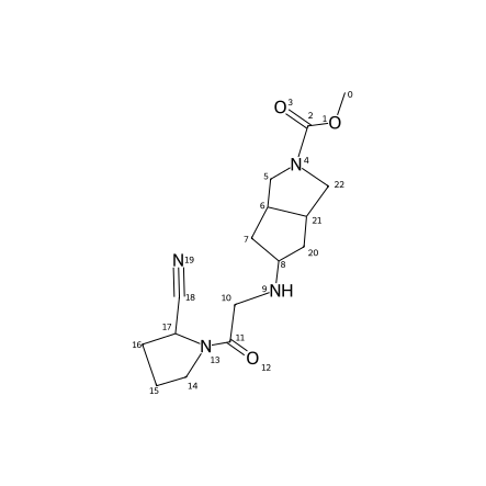 COC(=O)N1CC2CC(NCC(=O)N3CCCC3C#N)CC2C1